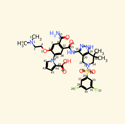 CN(C)CCOc1cc(C(N)=O)c(C(=O)Nc2n[nH]c3c2CN(S(=O)(=O)c2cc(F)cc(F)c2)CC3(C)C)cc1-n1cccc1C(=O)O